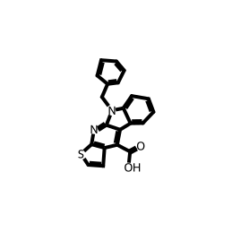 O=C(O)c1c2ccsc2nc2c1c1ccccc1n2Cc1ccccc1